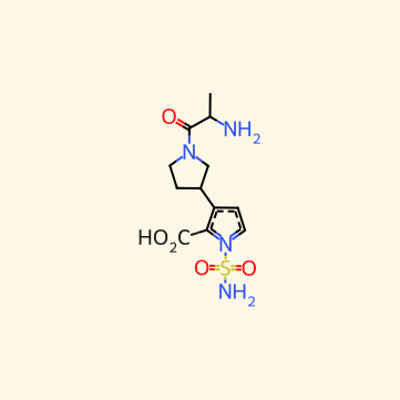 CC(N)C(=O)N1CCC(c2ccn(S(N)(=O)=O)c2C(=O)O)C1